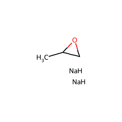 CC1CO1.[NaH].[NaH]